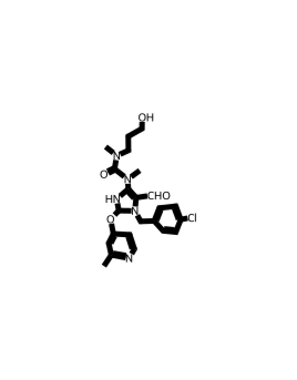 Cc1cc(OC2NC(N(C)C(=O)N(C)CCCO)=C(C=O)N2Cc2ccc(Cl)cc2)ccn1